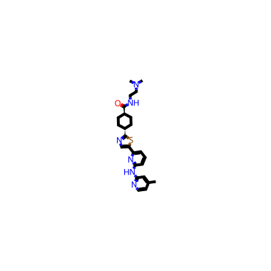 Cc1ccnc(Nc2cccc(-c3cnc([C@H]4CC[C@H](C(=O)NCCN(C)C)CC4)s3)n2)c1